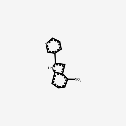 O=[N+]([O-])c1cccc2[nH]c(-c3cccnc3)cc12